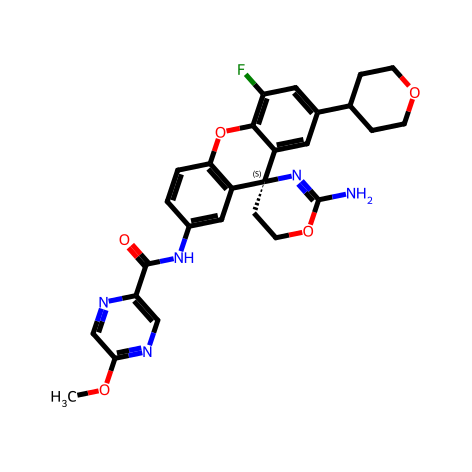 COc1cnc(C(=O)Nc2ccc3c(c2)[C@@]2(CCOC(N)=N2)c2cc(C4CCOCC4)cc(F)c2O3)cn1